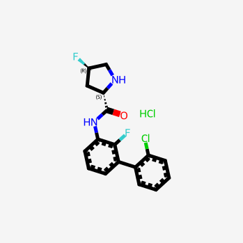 Cl.O=C(Nc1cccc(-c2ccccc2Cl)c1F)[C@@H]1C[C@@H](F)CN1